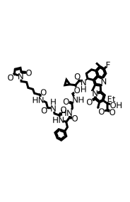 CC[C@@]1(O)C(=O)OCc2c1cc1n(c2=O)Cc2c-1nc1cc(F)c(C)c3c1c2[C@@H](NC(=O)C(OCNC(=O)CNC(=O)C(Cc1ccccc1)NC(=O)CNC(=O)CNC(=O)CCCCCN1C(=O)C=CC1=O)C1CC1)CC3